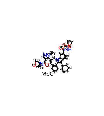 COc1ccc2c(c1)C=C(c1c(C(=O)N3CC4CC3CO4)cnn1C(C)C)Cn1c-2c(C2CCCCC2)c2ccc(C(=O)NS(=O)(=O)C(C)C)cc21